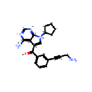 NCC#Cc1cccc(C(=O)c2cn(C3CCCC3)c3ncnc(N)c23)c1